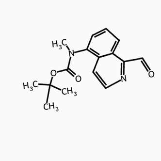 CN(C(=O)OC(C)(C)C)c1cccc2c(C=O)nccc12